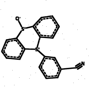 N#Cc1cccc([S+]2c3ccccc3[S+]([O-])c3ccccc32)c1